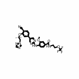 COc1cc(C(=O)NCCOC(F)(F)F)ccc1Nc1ncc(-c2ccc(C#N)c(O[C@@H](C)Cn3cncn3)c2)cn1